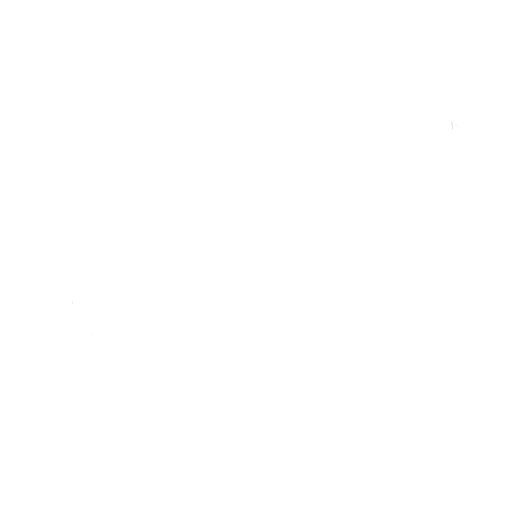 CC(OCOc1ccc2c(Oc3ccc(OCCBr)cc3)csc2c1)[Si](C)(C)C